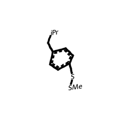 CSSc1ccc(CC(C)C)cc1